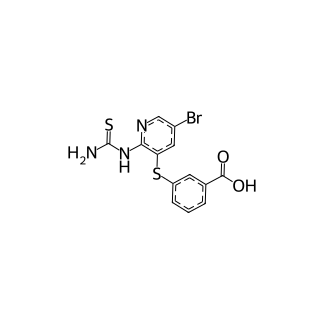 NC(=S)Nc1ncc(Br)cc1Sc1cccc(C(=O)O)c1